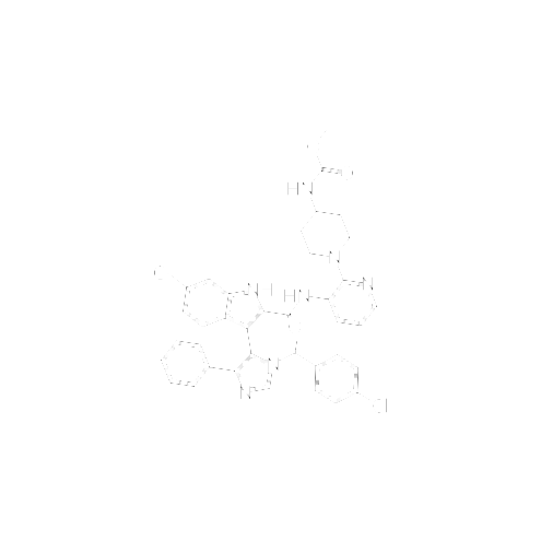 COC(=O)NC1CCN(c2ncccc2NC(=O)c2[nH]c3cc(Cl)ccc3c2-c2c(-c3ccccc3)ncn2C(C)c2ccc(Cl)cc2)CC1